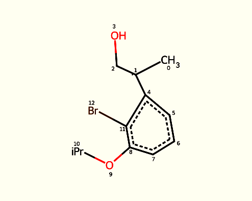 C[C](CO)c1cccc(OC(C)C)c1Br